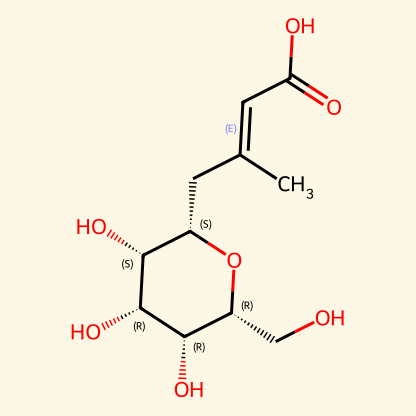 C/C(=C\C(=O)O)C[C@@H]1O[C@H](CO)[C@H](O)[C@H](O)[C@@H]1O